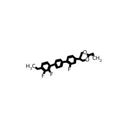 C=CC1OCC(c2ccc(-c3ccc(-c4ccc(CC)c(F)c4F)cc3)c(F)c2)CO1